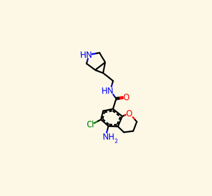 Nc1c(Cl)cc(C(=O)NCC2C3CNCC32)c2c1CCCO2